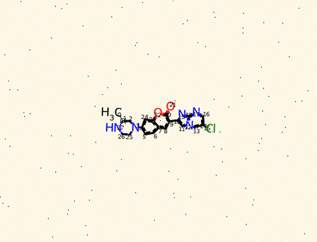 C[C@@H]1CN(c2ccc3cc(-c4cn5cc(Cl)cnc5n4)c(=O)oc3c2)CCN1